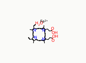 C=CC1=C(C)c2cc3[n-]c(cc4[n-]c(cc5nc(cc1n2)C(C)=C5C=C)c(C)c4CCC(=O)O)c(CCC(=O)O)c3C.O.[Fe+2]